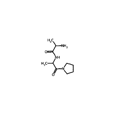 CC(N)C(=O)NC(C)C(=O)N1CCCC1